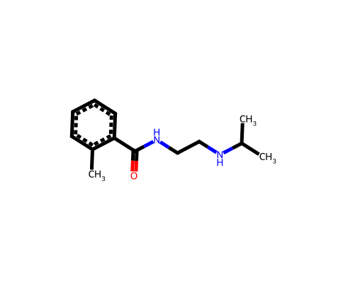 Cc1ccccc1C(=O)NCCNC(C)C